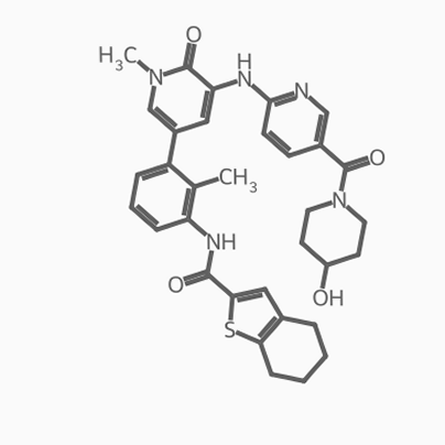 Cc1c(NC(=O)c2cc3c(s2)CCCC3)cccc1-c1cc(Nc2ccc(C(=O)N3CCC(O)CC3)cn2)c(=O)n(C)c1